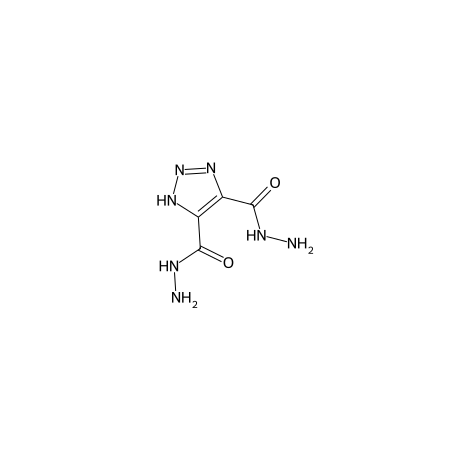 NNC(=O)c1nn[nH]c1C(=O)NN